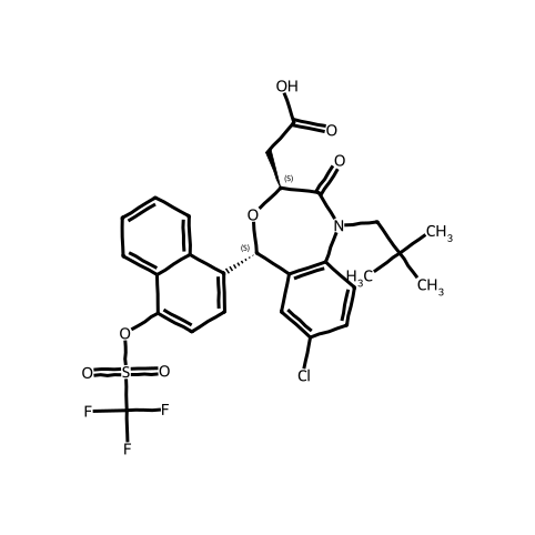 CC(C)(C)CN1C(=O)[C@H](CC(=O)O)O[C@@H](c2ccc(OS(=O)(=O)C(F)(F)F)c3ccccc23)c2cc(Cl)ccc21